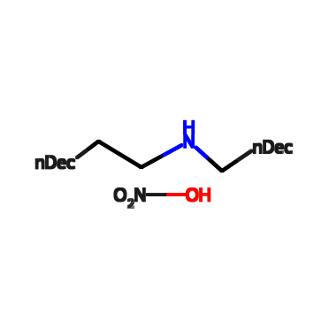 CCCCCCCCCCCCNCCCCCCCCCCC.O=[N+]([O-])O